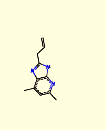 C=CCC1=Nc2c(C)cc(C)nc2[N]1